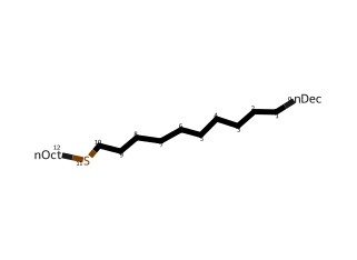 CCCCCCCCCCCCCCCCCCCCSCCCCCCCC